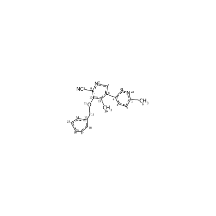 Cc1ccc(-c2cnc(C#N)c(OCc3ccccc3)c2C)cn1